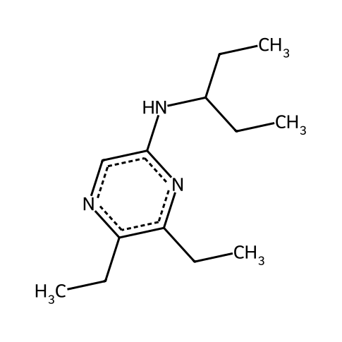 CCc1ncc(NC(CC)CC)nc1CC